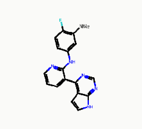 CNc1cc(Nc2ncccc2-c2ncnc3[nH]ccc23)ccc1F